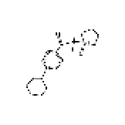 CC(C)(C(=O)c1ccc(C2CCCCC2)cc1)[SH]1(=O)CCCC1